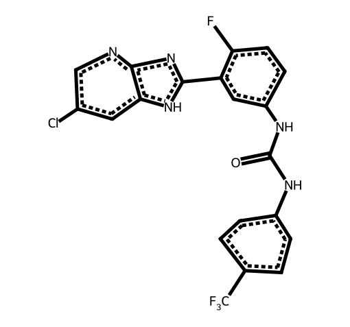 O=C(Nc1ccc(C(F)(F)F)cc1)Nc1ccc(F)c(-c2nc3ncc(Cl)cc3[nH]2)c1